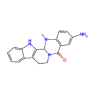 CN1c2ccc(N)cc2C(=O)N2CCc3c([nH]c4ccccc34)C21